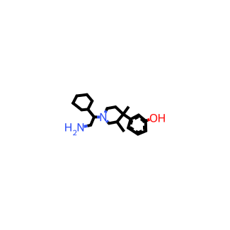 CC1CN(C(CN)C2CCCCC2)CCC1(C)c1cccc(O)c1